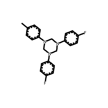 Cc1ccc(N2CN(c3ccc(F)cc3)CN(c3ccc(F)cc3)C2)cc1